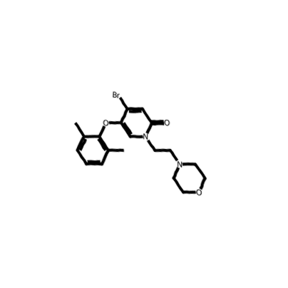 Cc1cccc(C)c1Oc1cn(CCN2CCOCC2)c(=O)cc1Br